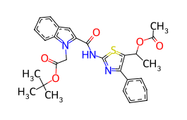 CC(=O)OC(C)c1sc(NC(=O)c2cc3ccccc3n2CC(=O)OC(C)(C)C)nc1-c1ccccc1